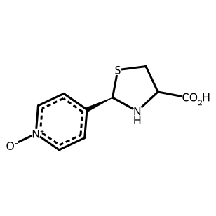 O=C(O)C1CS[C@H](c2cc[n+]([O-])cc2)N1